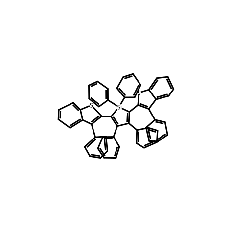 c1ccc(C2=C(c3sc4ccccc4c3-c3ccccc3)[Si](c3ccccc3)(c3ccccc3)C(c3sc4ccccc4c3-c3ccccc3)=C2c2ccccc2)cc1